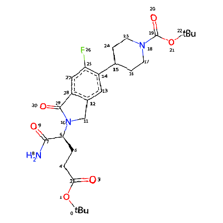 CC(C)(C)OC(=O)CC[C@@H](C(N)=O)N1Cc2cc(C3CCN(C(=O)OC(C)(C)C)CC3)c(F)cc2C1=O